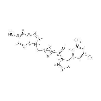 Cc1cc(F)cc(C2CC=NN2C(=O)C23CC(Cn4ncc5nc(C#N)ccc54)(C2)C3)c1